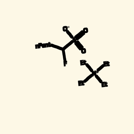 CCCCCC(F)S(=O)(=O)[O-].CC[N+](CC)(CC)CC